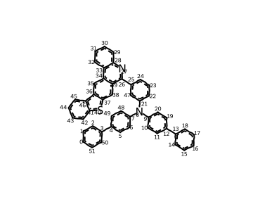 c1ccc(-c2ccc(N(c3ccc(-c4ccccc4)cc3)c3cccc(-c4nc5ccccc5c5cc6c(cc45)sc4ccccc46)c3)cc2)cc1